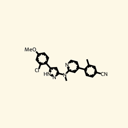 COc1ccc(-c2cc(N(C)c3cc(-c4ccc(C#N)cc4C)ccn3)n[nH]2)c(Cl)c1